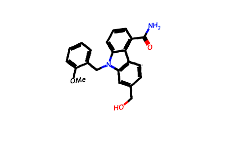 COc1ccccc1Cn1c2cc(CO)c[c]c2c2c(C(N)=O)cccc21